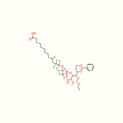 CCOCOC(C1CCOC(c2ccccc2)O1)C(OS(=O)(=O)C(F)(F)C(F)(F)OC(F)(F)C(F)(F)CC(I)CCCCCCCCC(=O)O)C(O)OC